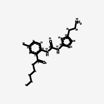 CCCCCC(=O)c1cc(C)ccc1NC(=O)Nc1nc(CCN)cs1